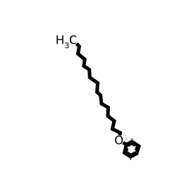 CCCCCCCCCCCCCCCCOc1[c]cc[c]c1